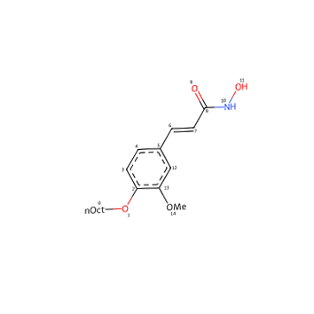 CCCCCCCCOc1ccc(C=CC(=O)NO)cc1OC